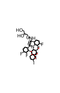 O=C(NOC[C@H](O)CO)c1ccc(F)c(F)c1N(C(=O)c1ccc(F)c(F)c1Cc1ccc(I)cc1F)c1ccc(I)cc1F